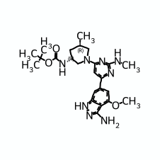 CNc1nc(-c2cc(OC)c3c(N)n[nH]c3c2)cc(N2C[C@H](C)C[C@@H](NC(=O)OC(C)(C)C)C2)n1